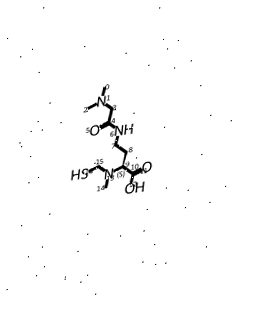 CN(C)CC(=O)NCC[C@@H](C(=O)O)N(C)CS